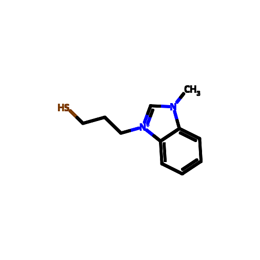 Cn1c[n+](CCCS)c2ccccc21